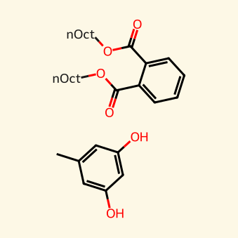 CCCCCCCCOC(=O)c1ccccc1C(=O)OCCCCCCCC.Cc1cc(O)cc(O)c1